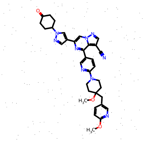 COc1ccc(CC2(OC)CCN(c3ccc(-c4nc(-c5cnn(C6CCC(=O)CC6)c5)cn5ncc(C#N)c45)cn3)CC2)cn1